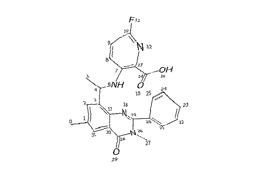 Cc1cc(C(C)Nc2ccc(F)nc2C(=O)O)c2nc(-c3ccccc3)n(C)c(=O)c2c1